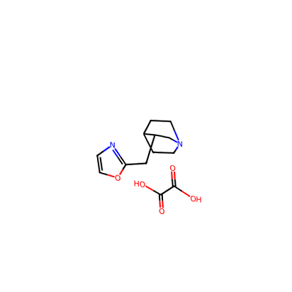 O=C(O)C(=O)O.c1coc(CC2CN3CCC2CC3)n1